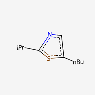 CCCCc1cnc(C(C)C)s1